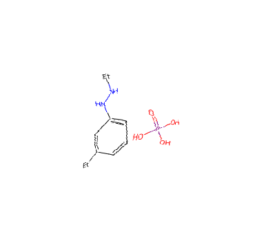 CCNNc1cccc(CC)c1.O=P(O)(O)O